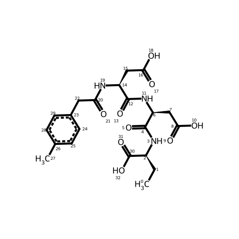 CC[C@H](NC(=O)[C@H](CC(=O)O)NC(=O)[C@H](CC(=O)O)NC(=O)Cc1ccc(C)cc1)C(=O)O